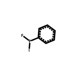 FP(I)c1ccccc1